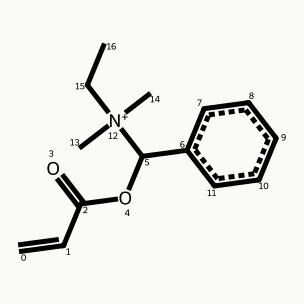 C=CC(=O)OC(c1ccccc1)[N+](C)(C)CC